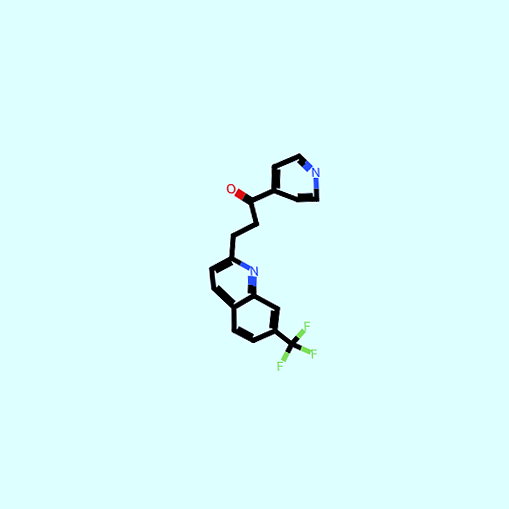 O=C(CCc1ccc2ccc(C(F)(F)F)cc2n1)c1ccncc1